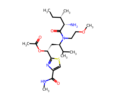 CC[C@H](C)[C@H](N)C(=O)N(CCOC)[C@H](C[C@@H](OC(C)=O)c1nc(C(=O)NC)cs1)C(C)C